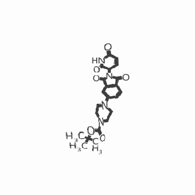 CC(C)(C)OC(=O)N1CCN(c2ccc3c(c2)C(=O)N(C2C=CC(=O)NC2=O)C3=O)CC1